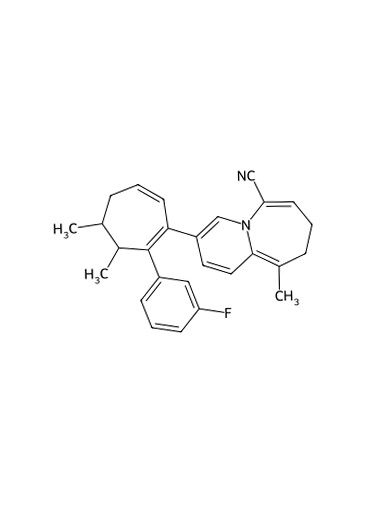 CC1=C2C=CC(C3=C(c4cccc(F)c4)C(C)C(C)CC=C3)=CN2C(C#N)=CCC1